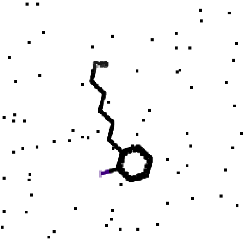 O=CCCCCCc1ccccc1I